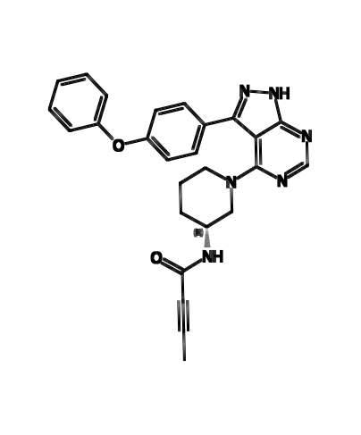 CC#CC(=O)N[C@@H]1CCCN(c2ncnc3[nH]nc(-c4ccc(Oc5ccccc5)cc4)c23)C1